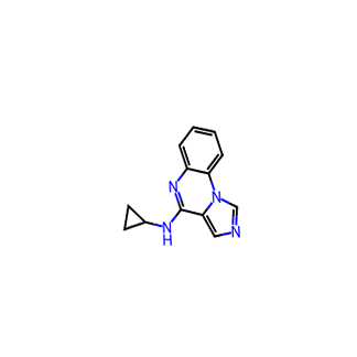 c1ccc2c(c1)nc(NC1CC1)c1cncn12